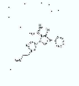 CNCCn1cc(-c2cn(-c3ccccc3)c3nc[nH]c(=O)c23)cn1